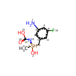 C[SH](O)(Cc1cc(N)cc(F)c1)=NC(=O)O